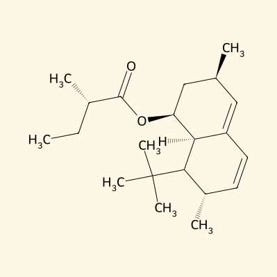 CC[C@H](C)C(=O)O[C@H]1C[C@@H](C)C=C2C=C[C@H](C)C(C(C)(C)C)[C@H]21